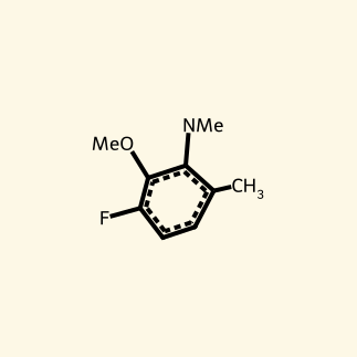 CNc1c(C)ccc(F)c1OC